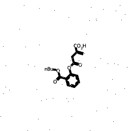 C=C(CC(=O)Oc1ccccc1C(=O)OCCCC)C(=O)O